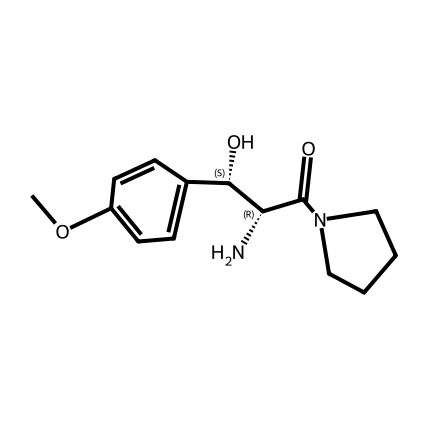 COc1ccc([C@H](O)[C@@H](N)C(=O)N2CCCC2)cc1